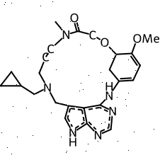 COC1=CC=C2CC1OCC(=O)N(C)CCCN(CC1CC1)Cc1c[nH]c3ncnc(c13)N2